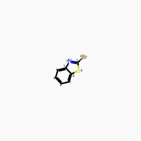 Brc1nc2cc[c]cc2s1